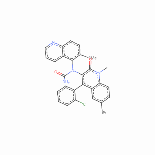 CSc1ccc2ncccc2c1N(C(N)=O)c1c(-c2ccccc2Cl)c2cc(C(C)C)ccc2n(C)c1=O